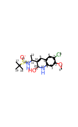 COc1cc2c(cc1Cl)C=C(C(C)N[S+]([O-])C(C)(C)C)C(O)N2